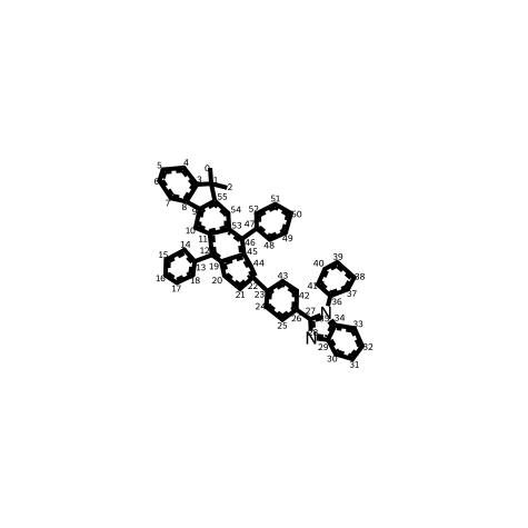 CC1(C)c2ccccc2-c2cc3c(-c4ccccc4)c4ccc(-c5ccc(-c6nc7ccccc7n6-c6ccccc6)cc5)cc4c(-c4ccccc4)c3cc21